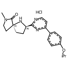 CC(C)Oc1ccc(-c2ccnc([C@H]3CC[C@@]4(CCN(C)C4=O)N3)n2)cc1.Cl